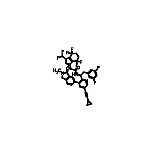 CN1Cc2ccc(-c3cc(C#CC4CC4)cnc3[C@H](Cc3cc(F)cc(F)c3)NC(=O)Cn3cc(C(F)F)c4c3C(F)(F)CCC4(F)F)cc2C1=O